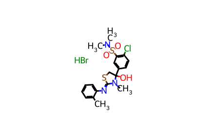 Br.Cc1ccccc1N=C1SCC(O)(c2ccc(Cl)c(S(=O)(=O)N(C)C)c2)N1C